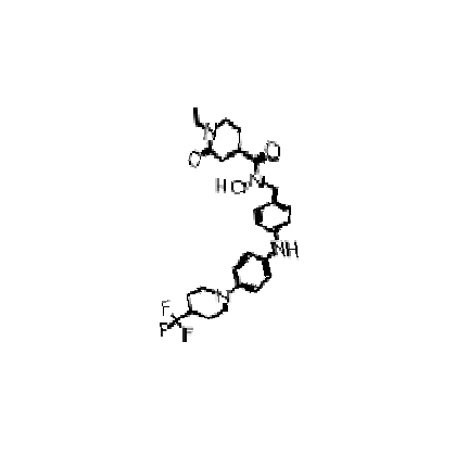 CCN1CCC(C(=O)N(O)Cc2ccc(Nc3ccc(N4CCC(C(F)(F)F)CC4)cc3)cc2)CC1=O